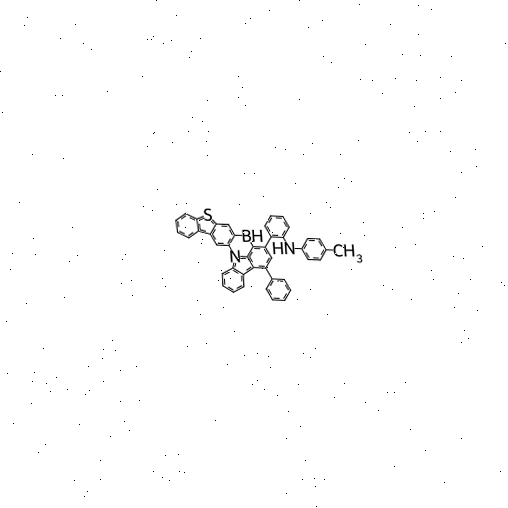 Cc1ccc(Nc2ccccc2-c2cc(-c3ccccc3)c3c4ccccc4n4c3c2Bc2cc3sc5ccccc5c3cc2-4)cc1